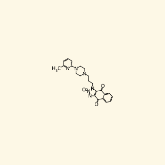 Cc1cccc(N2CCN(CCCn3c4c(n[n+]3[O-])C(=O)c3ccccc3C4=O)CC2)n1